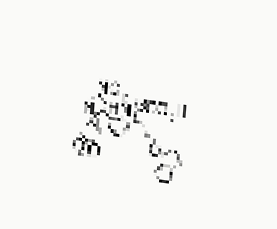 O=C(O)Oc1[nH]c2c(-c3cc([N+](=O)[O-])cnc3N3CCC4(CC3)OCCO4)cccc2c1CCCOc1cccc2ccccc12